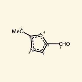 COc1ncc(C=O)s1